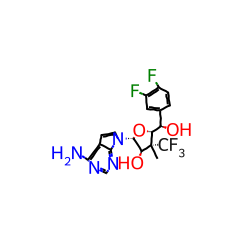 C[C@]1(C(F)(F)F)[C@@H]([C@H](O)c2ccc(F)c(F)c2)O[C@@H](n2ccc3c(N)ncnc32)[C@@H]1O